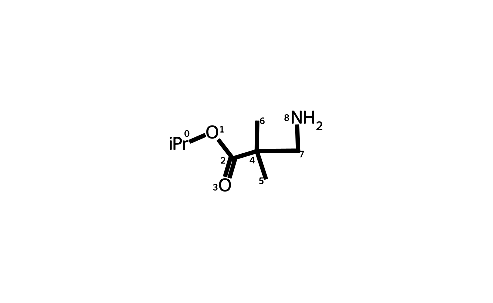 CC(C)OC(=O)C(C)(C)CN